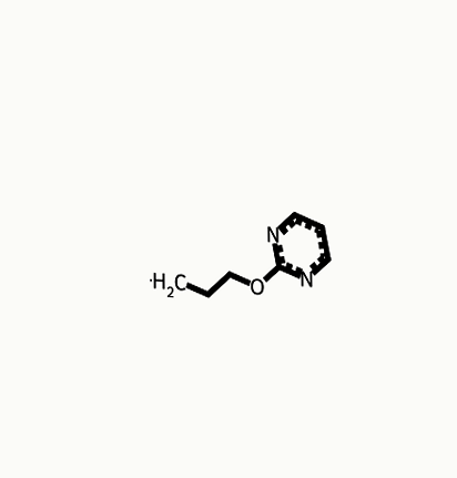 [CH2]CCOc1ncccn1